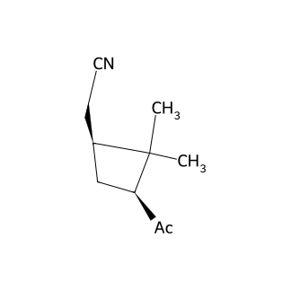 CC(=O)[C@H]1C[C@@H](CC#N)C1(C)C